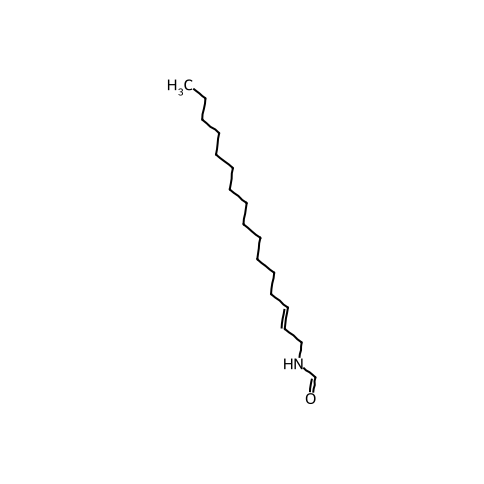 CCCCCCCCCCCCC/C=C/CNC=O